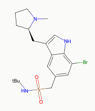 CN1CCC[C@@H]1Cc1c[nH]c2c(Br)cc(CS(=O)(=O)NC(C)(C)C)cc12